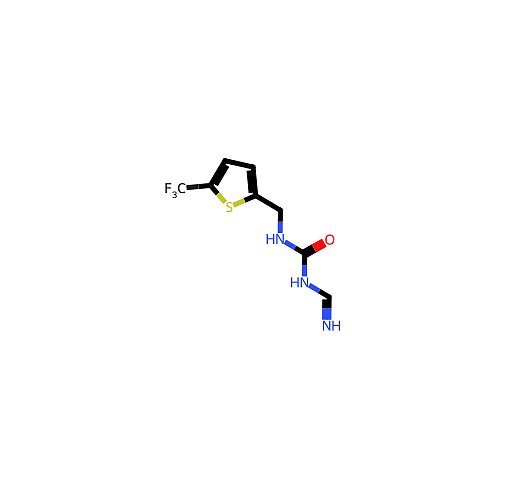 N=CNC(=O)NCc1ccc(C(F)(F)F)s1